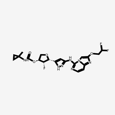 CC1(NC(=O)O[C@@H]2CO[C@H](c3cc(Nc4nccc5nc(OCC(F)F)cn45)n[nH]3)[C@@H]2F)CC1